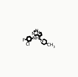 CC1CCN(Cc2ccn3ncnc(Nc4ccc(F)c(Cl)c4)c23)CC1